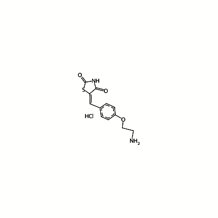 Cl.NCCOc1ccc(/C=C2/SC(=O)NC2=O)cc1